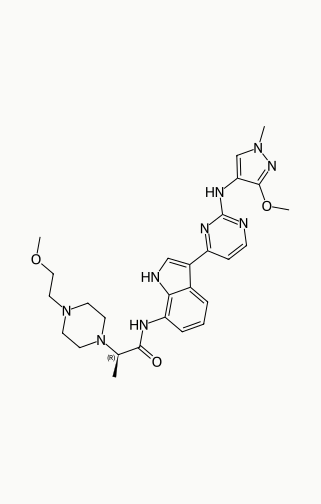 COCCN1CCN([C@H](C)C(=O)Nc2cccc3c(-c4ccnc(Nc5cn(C)nc5OC)n4)c[nH]c23)CC1